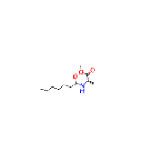 C=C(NC(=O)CCCCCC)C(=O)OC